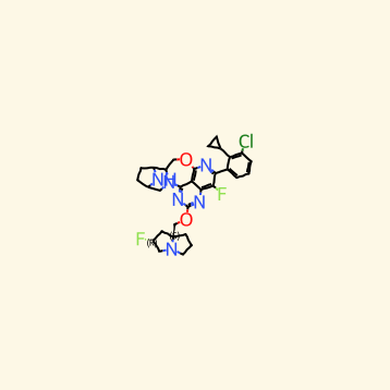 Fc1c(-c2cccc(Cl)c2C2CC2)nc2c3c(nc(OC[C@@]45CCCN4C[C@H](F)C5)nc13)N1CC3CCC(N3)C1CO2